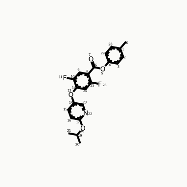 Cc1ccc(OC(=O)c2cc(F)c(Oc3ccc(OC(C)C)nc3)cc2F)cc1